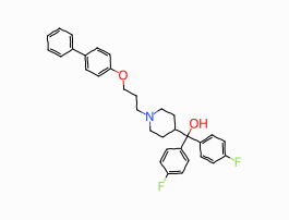 OC(c1ccc(F)cc1)(c1ccc(F)cc1)C1CCN(CCCOc2ccc(-c3ccccc3)cc2)CC1